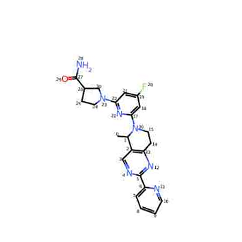 CC1c2cnc(-c3ccccn3)nc2CCN1c1cc(F)cc(N2CCC(C(N)=O)C2)n1